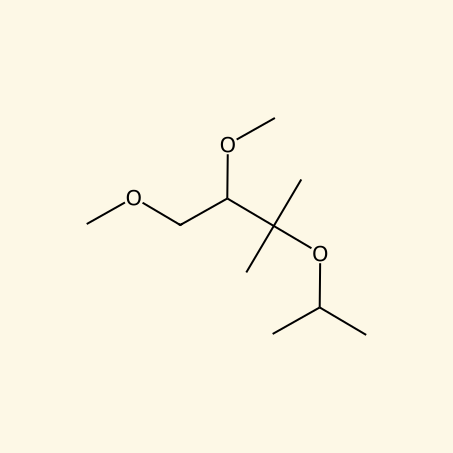 COCC(OC)C(C)(C)OC(C)C